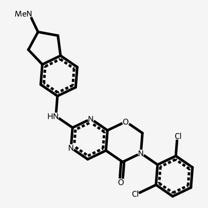 CNC1Cc2ccc(Nc3ncc4c(n3)OCN(c3c(Cl)cccc3Cl)C4=O)cc2C1